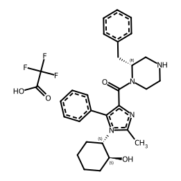 Cc1nc(C(=O)N2CCNC[C@H]2Cc2ccccc2)c(-c2ccccc2)n1[C@H]1CCCC[C@@H]1O.O=C(O)C(F)(F)F